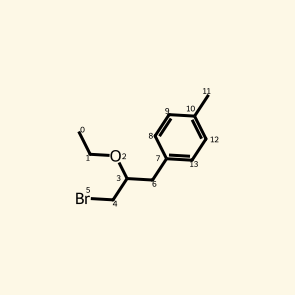 CCOC(CBr)Cc1ccc(C)cc1